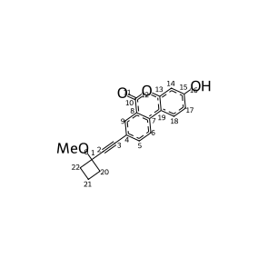 COC1(C#Cc2ccc3c(c2)c(=O)oc2cc(O)ccc23)CCC1